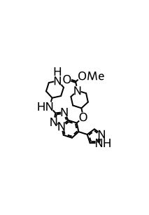 COC(=O)N1CCC(Oc2c(-c3cn[nH]c3)ccn3nc(NC4CCNCC4)nc23)CC1